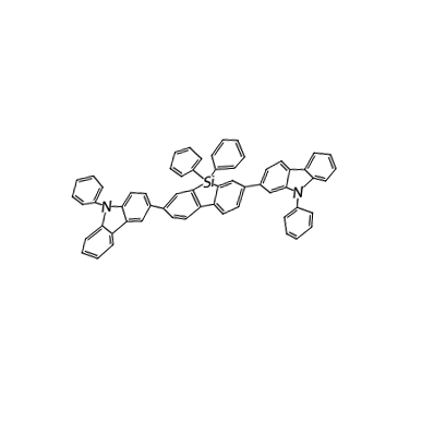 c1ccc(-n2c3ccccc3c3cc(-c4ccc5c(c4)[Si](c4ccccc4)(c4ccccc4)c4cc(-c6ccc7c8ccccc8n(-c8ccccc8)c7c6)ccc4-5)ccc32)cc1